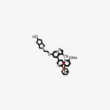 COc1ccc(CN2C3CC2CN(c2ccc(-c4cc(OCCN5CC6CC(O)CC6C5)cn5ncc(C#N)c45)cn2)C3)cn1